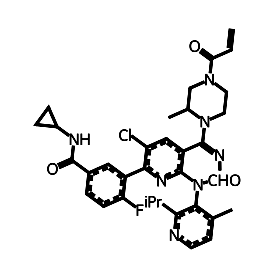 C=CC(=O)N1CCN(/C(=N/C)c2cc(Cl)c(-c3cc(C(=O)NC4CC4)ccc3F)nc2N(C=O)c2c(C)ccnc2C(C)C)C(C)C1